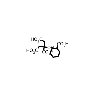 O=C(O)C1CCCCC1.O=C(O)CC(O)(CC(=O)O)C(=O)O